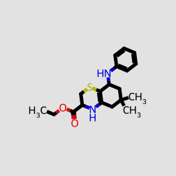 CCOC(=O)C1CSC2=C(CC(C)(C)CC2Nc2ccccc2)N1